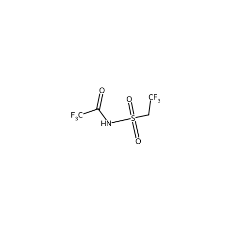 O=C(NS(=O)(=O)CC(F)(F)F)C(F)(F)F